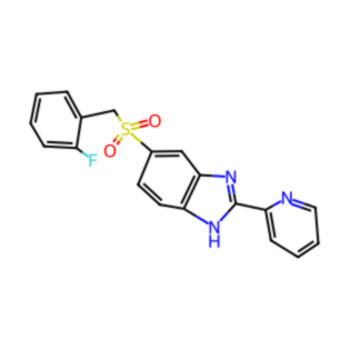 O=S(=O)(Cc1ccccc1F)c1ccc2[nH]c(-c3ccccn3)nc2c1